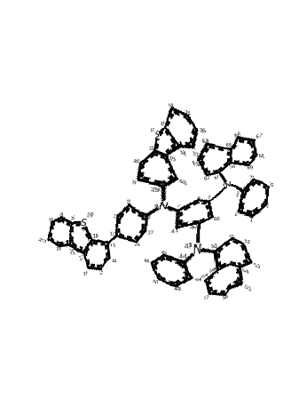 c1ccc(N(c2cc(N(c3ccc(-c4cccc5c4sc4ccccc45)cc3)c3ccc4sc5ccccc5c4c3)cc(N(c3ccccc3)c3cccc4ccccc34)c2)c2cccc3ccccc23)cc1